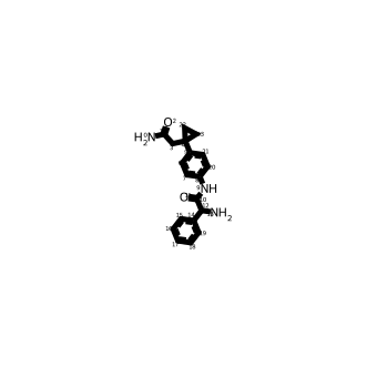 NC(=O)CC1(c2ccc(NC(=O)C(N)c3ccccc3)cc2)CC1